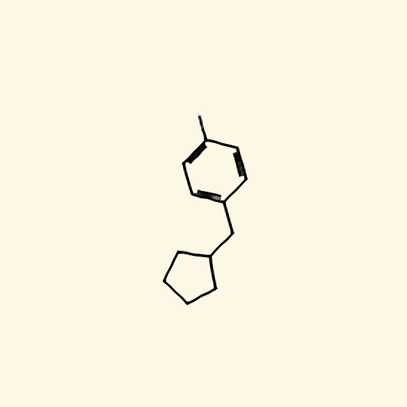 FC(F)(F)c1ccc(CC2CCCC2)cc1